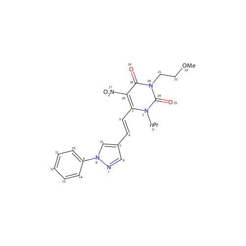 CCCn1c(/C=C/c2cnn(-c3ccccc3)c2)c([N+](=O)[O-])c(=O)n(CCOC)c1=O